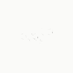 CN1CC(c2c(Cl)cccc2Cl)=Cc2cnc(Nc3ccccc3)nc21